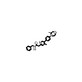 Cc1cc(CC(=O)NCc2ccccc2)ncc1-c1ccc(N2CCOC[C@@H]2C)cc1